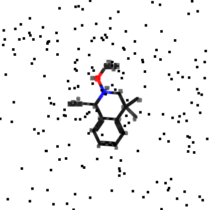 CCCCCCCCCCC1c2ccccc2C(C)(C)CN1OS(=O)(=O)O